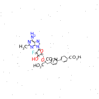 Cc1nc(N)c2ncn([C@@H]3O[C@H](COC(Cc4ccc(-c5ccc(C(=O)O)cc5)cc4)(C(=O)O)C(=O)O)[C@@H](O)[C@@H]3F)c2n1